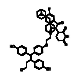 O=C1CCC(N2C(=O)c3cc(F)c(N4C5CC4CN(CC4CCN(CCOc6ccc(C(=C(CCCl)c7ccc(O)cc7)c7ccc(O)cc7)cc6)CC4)C5)cc3C2=O)C(=O)N1